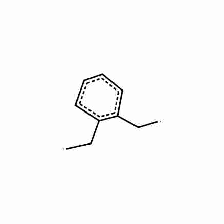 [CH2]Cc1ccccc1C[CH2]